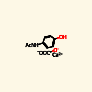 CC(=O)Nc1ccc(O)cc1.O=C([O-])[O-].[Ca+2]